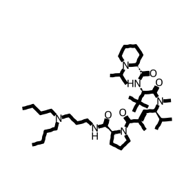 CCCCN(CCCC)CCCNC(=O)[C@@H]1CCCN1C(=O)/C(C)=C/[C@H](C(C)C)N(C)C(=O)[C@@H](NC(=O)[C@H]1CCCCN1C(C)C)C(C)(C)C